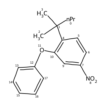 CCCC(C)(C)c1ccc([N+](=O)[O-])cc1Oc1ccccc1